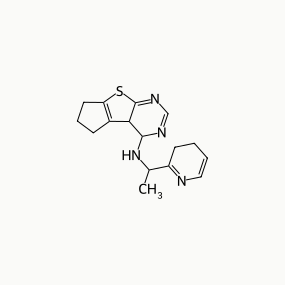 CC(NC1N=CN=C2SC3=C(CCC3)C21)C1=NC=CCC1